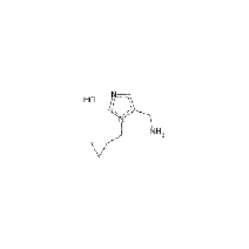 Cl.NCc1cncn1CC1CC1